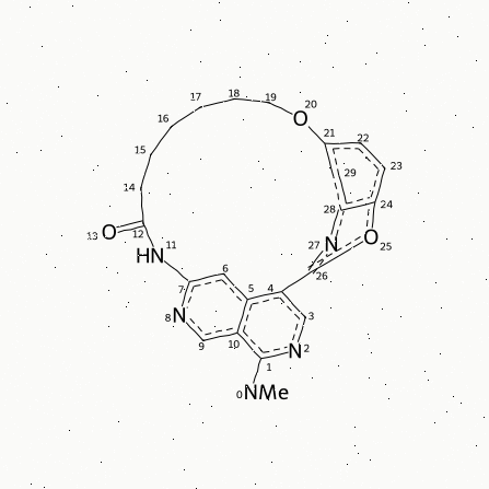 CNc1ncc2c3cc(ncc13)NC(=O)CCCCCCOc1ccc3oc-2nc3c1